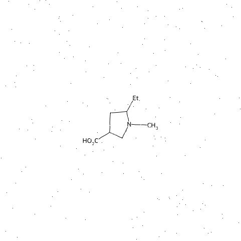 CCC1CC(C(=O)O)CN1C